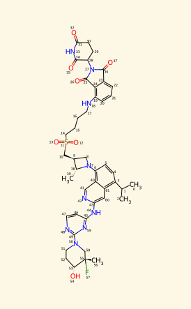 CC(C)c1ccc(N2C[C@H](CS(=O)(=O)CCCCNc3cccc4c3C(=O)N(C3CCC(=O)NC3=O)C4=O)[C@H]2C)c2cnc(Nc3ccnc(N4CC[C@@H](O)[C@@](C)(F)C4)n3)cc12